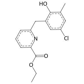 CCOC(=O)c1cccc(Cc2cc(Cl)cc(C)c2O)n1